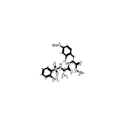 COc1ccc(C[C@H](NC(=O)[C@H](C)NS(=O)(=O)c2ccccc2[N+](=O)[O-])C(=O)OC(C)(C)C)c(F)c1